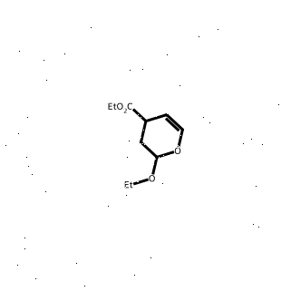 CCOC(=O)C1C=COC(OCC)C1